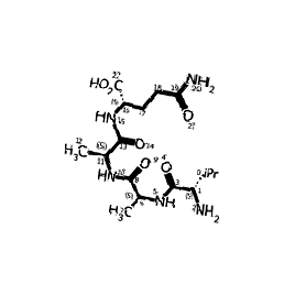 CC(C)[C@H](N)C(=O)N[C@@H](C)C(=O)N[C@@H](C)C(=O)N[C@@H](CCC(N)=O)C(=O)O